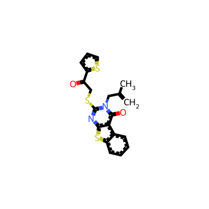 C=C(C)Cn1c(SCC(=O)c2cccs2)nc2sc3ccccc3c2c1=O